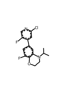 CC(C)N1CCOc2c(F)cc(-c3cc(Cl)ncc3F)cc21